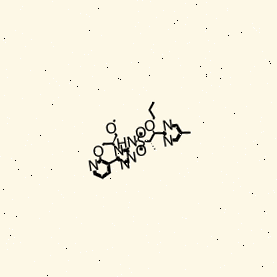 CCCO[C@@H](c1ncc(C)cn1)[C@H](C)S(=O)(=O)Nc1nnc2n1[C@H](COC)COc1ncccc1-2